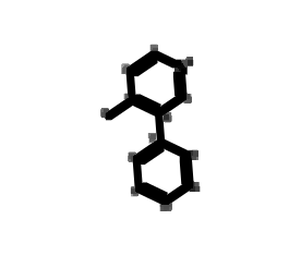 Cc1ccn[c]c1-c1ccccc1